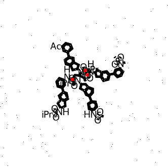 CC(=O)c1cccc(-c2ccc3c(c2)CC(N(C(CC(=O)Nc2cccc(-c4ccc5c(c4)CC(NS(=O)(=O)C(C)C)C5)c2)(C(C)S(=O)(=O)NC2Cc4ccc(-c5cccc(N(C)S(C)(=O)=O)c5)cc4C2)N(C2Cc4ccc(-c5ccc(NS(C)(=O)=O)cc5)cc4C2)S(=O)(=O)C(C)C)S(=O)(=O)C(C)C)C3)c1